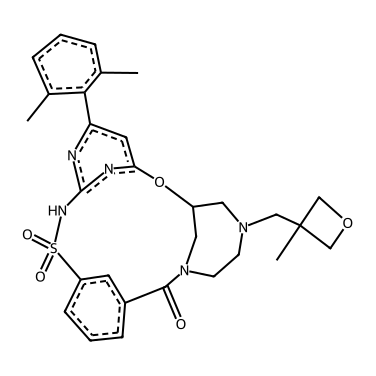 Cc1cccc(C)c1-c1cc2nc(n1)NS(=O)(=O)c1cccc(c1)C(=O)N1CCN(CC3(C)COC3)CC(C1)O2